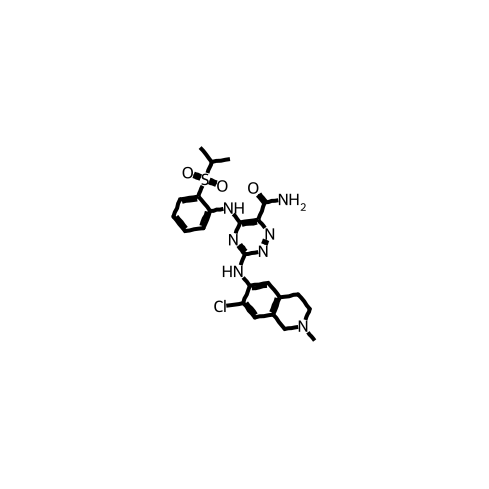 CC(C)S(=O)(=O)c1ccccc1Nc1nc(Nc2cc3c(cc2Cl)CN(C)CC3)nnc1C(N)=O